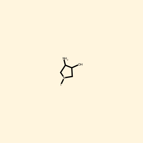 NC1CN(I)CC1O